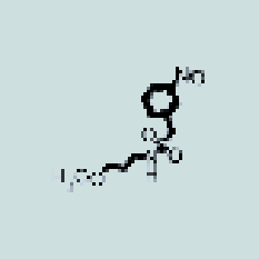 COCCCNS(=O)(=O)Cc1cccc(N=O)c1